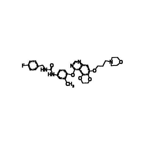 Cc1cc(NC(=O)NCc2ccc(F)cc2)ccc1Oc1ncnc2cc(OCCCN3CCOCC3)c3c(c12)OCCO3